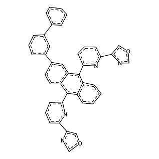 c1ccc(-c2cccc(-c3ccc4c(-c5cccc(-c6cocn6)n5)c5ccccc5c(-c5cccc(-c6cocn6)n5)c4c3)c2)cc1